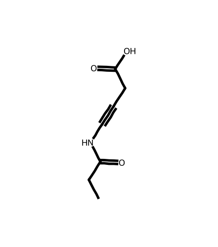 CCC(=O)NC#CCC(=O)O